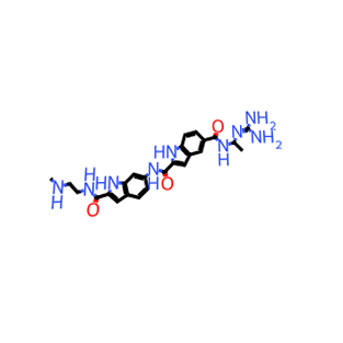 CNCCNC(=O)c1cc2ccc(NC(=O)c3cc4cc(C(=O)NC(C)N=C(N)N)ccc4[nH]3)cc2[nH]1